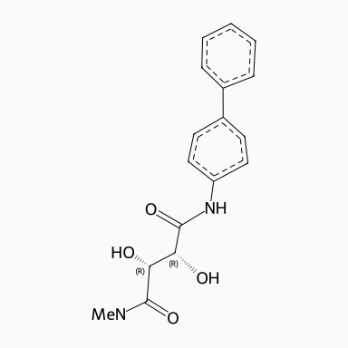 CNC(=O)[C@H](O)[C@@H](O)C(=O)Nc1ccc(-c2ccccc2)cc1